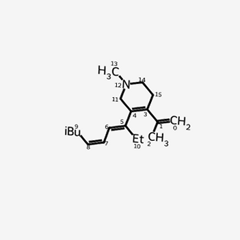 C=C(C)C1=C(/C(=C/C=C\C(C)CC)CC)CN(C)CC1